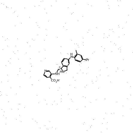 Cc1cc(C(C)C)ccc1Nc1ccc2c(c1)CN[C@H]2CNc1cnccc1C(=O)O